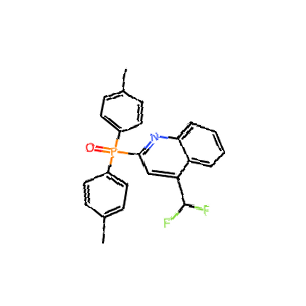 Cc1ccc(P(=O)(c2ccc(C)cc2)c2cc(C(F)F)c3ccccc3n2)cc1